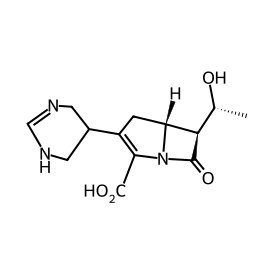 C[C@@H](O)[C@H]1C(=O)N2C(C(=O)O)=C(C3CN=CNC3)C[C@H]12